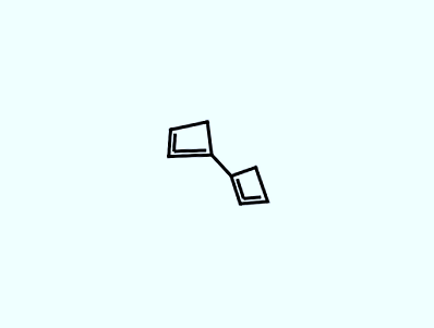 C1=CCC=1C1=C=CC1